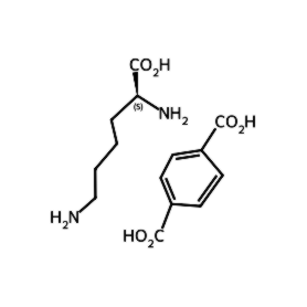 NCCCC[C@H](N)C(=O)O.O=C(O)c1ccc(C(=O)O)cc1